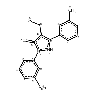 Cc1cccc(-c2[nH]n(-c3cccc(C)c3)c(=O)c2CC(C)C)c1